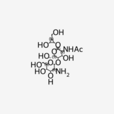 CC(=O)N[C@@H]1C(O)C(OC2O[C@H](CO)C(O)C(O)[C@H]2N)[C@H](CO)O[C@H]1OC1C(O)[C@H]1CO